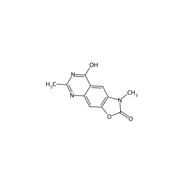 Cc1nc(O)c2cc3c(cc2n1)oc(=O)n3C